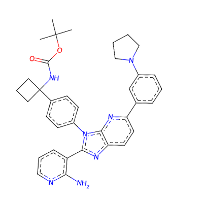 CC(C)(C)OC(=O)NC1(c2ccc(-n3c(-c4cccnc4N)nc4ccc(-c5cccc(N6CCCC6)c5)nc43)cc2)CCC1